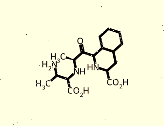 CC(N)C(N[C@@H](C)C(=O)C1NC(C(=O)O)CC2CCCCC21)C(=O)O